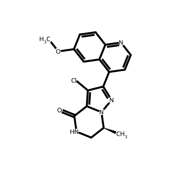 COc1ccc2nccc(-c3nn4c(c3Cl)C(=O)NC[C@@H]4C)c2c1